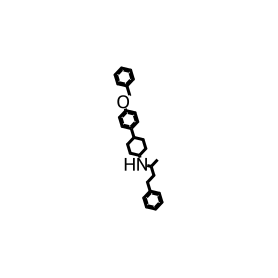 CC(CCc1ccccc1)NC1CCC(c2ccc(OCc3ccccc3)cc2)CC1